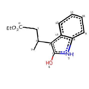 CCOC(=O)CC(C)c1c(O)[nH]c2ccccc12